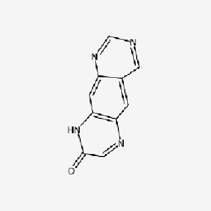 O=c1cnc2cc3[c]ncnc3cc2[nH]1